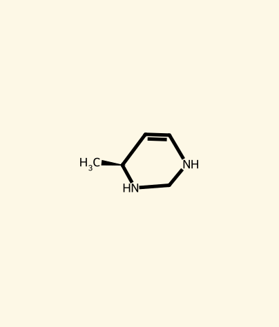 C[C@H]1C=CNCN1